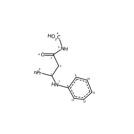 CCCC(CC(=O)NC(=O)O)Nc1ccccc1